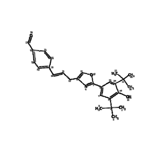 CC(C)(C)c1cc(-c2nc(CC=Cc3ccc(C=O)cc3)co2)cc(C(C)(C)C)c1O